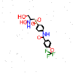 O=C(Nc1ccc(S(=O)(=O)CC(CO)NO)cc1)c1ccc(OC(F)(F)F)cc1